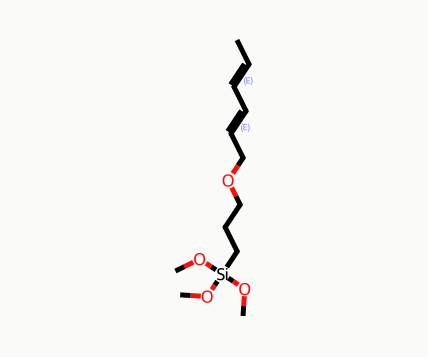 C/C=C/C=C/COCCC[Si](OC)(OC)OC